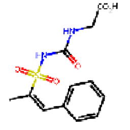 CC(=Cc1ccccc1)S(=O)(=O)NC(=O)NCC(=O)O